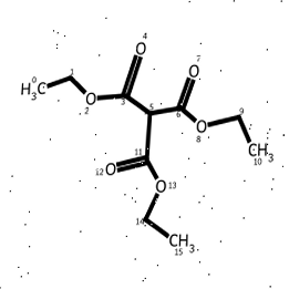 CCOC(=O)[C](C(=O)OCC)C(=O)OCC